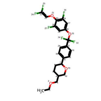 CCOCC1CCC(c2ccc(C(F)(F)Oc3cc(F)c(OC=C(F)F)c(F)c3)cc2)OC1